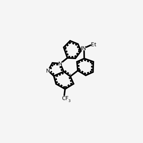 CCNc1cccc(-c2cc(C(F)(F)F)cc3ncn(-c4ccccc4)c23)c1